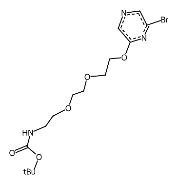 CC(C)(C)OC(=O)NCCOCCOCCOc1cncc(Br)n1